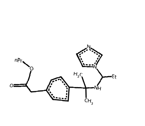 CCCOC(=O)Cc1ccc(C(C)(C)NC(CC)n2ccnc2)cc1